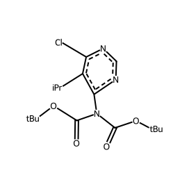 CC(C)c1c(Cl)ncnc1N(C(=O)OC(C)(C)C)C(=O)OC(C)(C)C